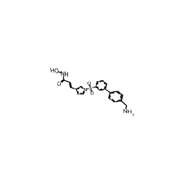 NCc1ccc(-c2cccc(S(=O)(=O)n3ccc(C=CC(=O)NO)c3)c2)cc1